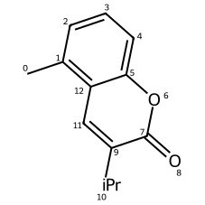 Cc1cccc2oc(=O)c(C(C)C)cc12